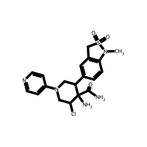 CN1c2ccc(C3CN(c4ccncc4)CC(Cl)C3(N)C(N)=O)cc2CS1(=O)=O